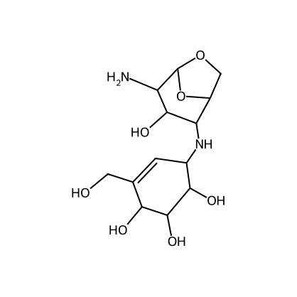 NC1C2OCC(O2)C(NC2C=C(CO)C(O)C(O)C2O)C1O